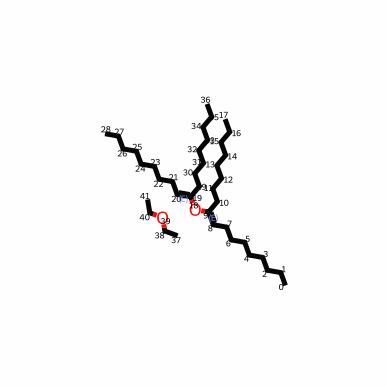 CCCCCCCC/C=C(\CCCCCCCC)O/C(=C/CCCCCCCC)CCCCCCCC.CCOCC